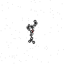 c1ccc(-c2nc(-c3ccc4oc5ccccc5c4c3)nc(-c3cccc4oc5ccc(-c6ccc7sc8cc(-c9ccc%10c(c9)c9ccccc9n%10-c9ccccc9)ccc8c7c6)cc5c34)n2)cc1